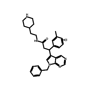 Cc1cccc(C(CC(=O)NCCC2CCNCC2)c2cn(Cc3ccccc3)c3ncncc23)c1.Cl